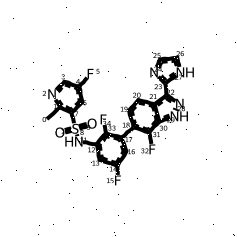 Cc1ncc(F)cc1S(=O)(=O)Nc1cc(F)cc(-c2ccc3c(-c4ncc[nH]4)n[nH]c3c2F)c1F